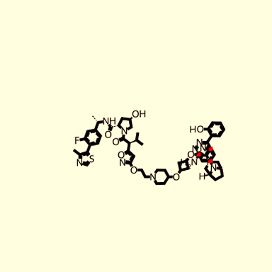 Cc1ncsc1-c1ccc([C@H](C)NC(=O)[C@@H]2C[C@@H](O)CN2C(=O)[C@H](c2cc(OCCN3CCC(OC4CC(Oc5cc(N6C7CC[C@@H]6CN(c6cc(-c8ccccc8O)nnc6N)C7)ccn5)C4)CC3)no2)C(C)C)cc1F